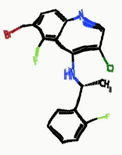 C[C@@H](Nc1c(Cl)cnc2ccc(Br)c(F)c12)c1ccccc1F